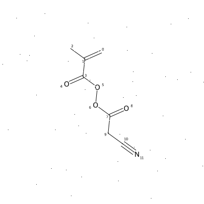 C=C(C)C(=O)OOC(=O)CC#N